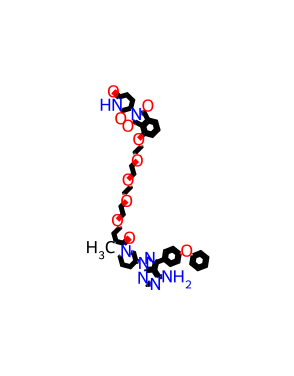 CC(CCOCCOCCOCCOCCOc1cccc2c1C(=O)N(C1CCC(=O)NC1=O)C2=O)C(=O)N1CCCC(n2nc(-c3ccc(Oc4ccccc4)cc3)c3c(N)ncnc32)C1